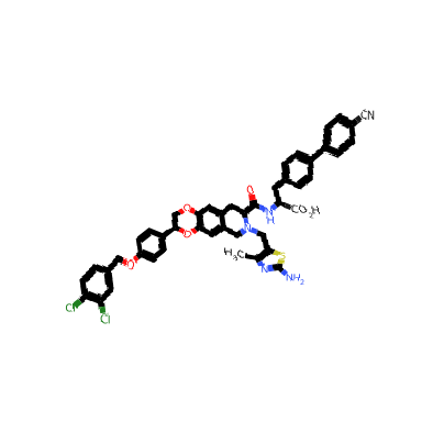 Cc1nc(N)sc1CN1Cc2cc3c(cc2CC1C(=O)NC(Cc1ccc(-c2ccc(C#N)cc2)cc1)C(=O)O)OCC(c1ccc(OCc2ccc(Cl)c(Cl)c2)cc1)O3